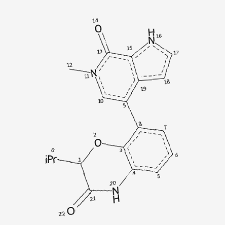 CC(C)C1Oc2c(cccc2-c2cn(C)c(=O)c3[nH]ccc23)NC1=O